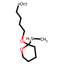 CCCCCCCCCCCCOC1([SiH2]C)CCCCO1